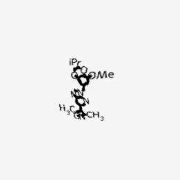 COc1cc(Cn2cnc3cc(-c4c(C)noc4C)cnc32)cc2c1OC(C(C)C)CO2